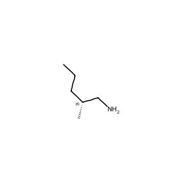 CCC[C@@H](C)CN